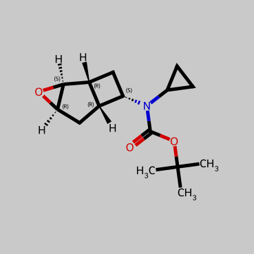 CC(C)(C)OC(=O)N(C1CC1)[C@H]1C[C@@H]2[C@H]1C[C@H]1O[C@@H]21